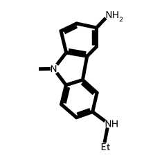 CCNc1ccc2c(c1)c1cc(N)ccc1n2C